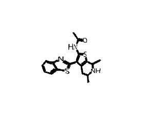 CC(=O)Nc1sc2c(c1-c1nc3ccccc3s1)CC(C)NC2C